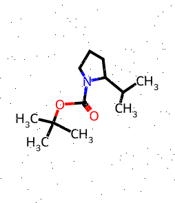 CC(C)C1CCCN1C(=O)OC(C)(C)C